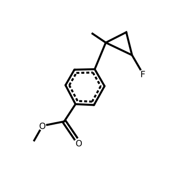 COC(=O)c1ccc(C2(C)CC2F)cc1